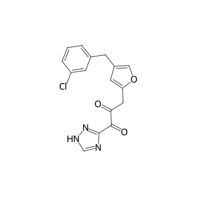 O=C(Cc1cc(Cc2cccc(Cl)c2)co1)C(=O)c1nc[nH]n1